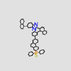 S=P(c1ccccc1)(c1ccccc1)c1ccc2c(ccc3cc(-c4ccc5c(c4)c4c6ccccc6ccc4c4nc6ccc(-c7cccc8ccccc78)cc6n54)ccc32)c1